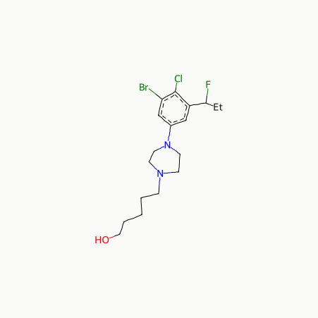 CCC(F)c1cc(N2CCN(CCCCCO)CC2)cc(Br)c1Cl